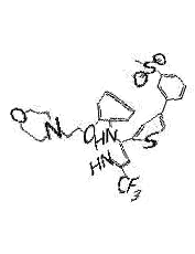 CS(=O)(=O)c1cccc(-c2csc(/C(=C/C(=N)C(F)(F)F)Nc3ccccc3OCCN3CCOCC3)c2)c1